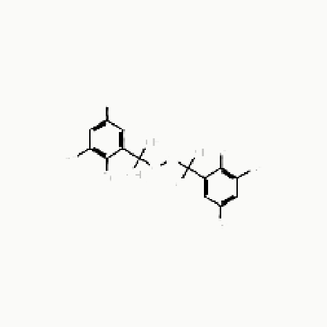 CC(C)(OOC(C)(C)c1cc(Br)cc(Br)c1Br)c1cc(Br)cc(Br)c1Br